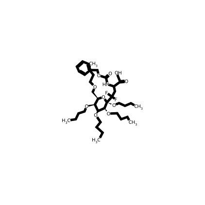 CCCCOC[C@H]1O[C@@](OCCCC)(C(F)(F)CC(NC(=O)OCc2ccccc2)C(=O)O)[C@H](OCCCC)[C@@H](OCCCC)[C@H]1OCCCC